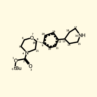 CC(C)(C)OC(=O)N1CCO[C@H](c2ccc(C3CCNCC3)cc2)C1